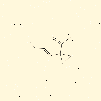 CCC=CC1(C(C)=O)CC1